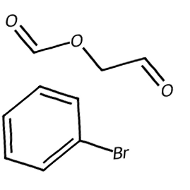 Brc1ccccc1.O=CCOC=O